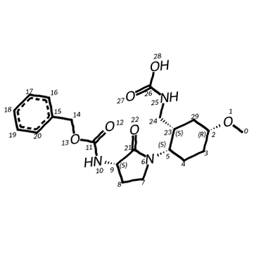 CO[C@@H]1CC[C@H](N2CC[C@H](NC(=O)OCc3ccccc3)C2=O)[C@H](CNC(=O)O)C1